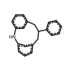 [c]1cccc(C2Cc3cccc(c3)Nc3cccc(c3)C2)c1